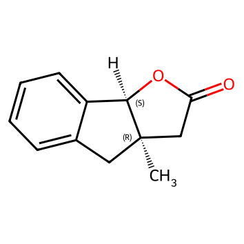 C[C@@]12CC(=O)O[C@@H]1c1ccccc1C2